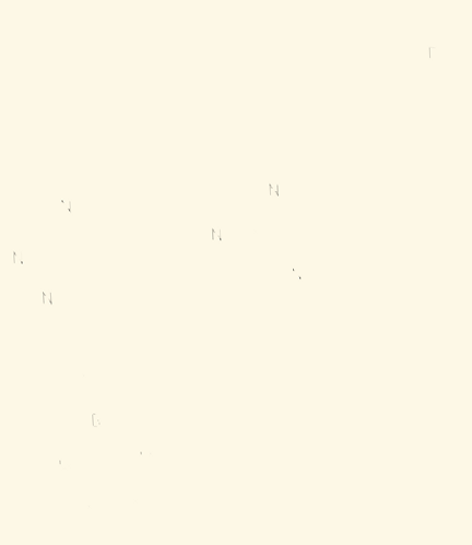 CC(c1ccc(F)cc1)c1cnc(N2CC=C(c3ncnn4cc(B5OC(C)(C)C(C)(C)O5)cc34)CC2)nc1